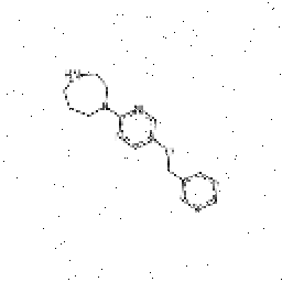 c1ccc(COc2cnc(N3CCCNCC3)nc2)cc1